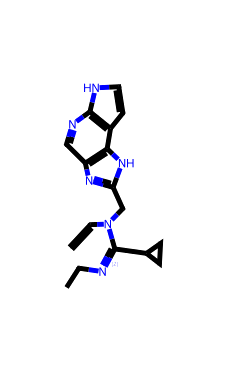 C=CN(Cc1nc2cnc3[nH]ccc3c2[nH]1)/C(=N\CC)C1CC1